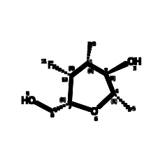 C[C@@H]1[C@@H](O)[C@H](C)O[C@H](CO)[C@@H]1F